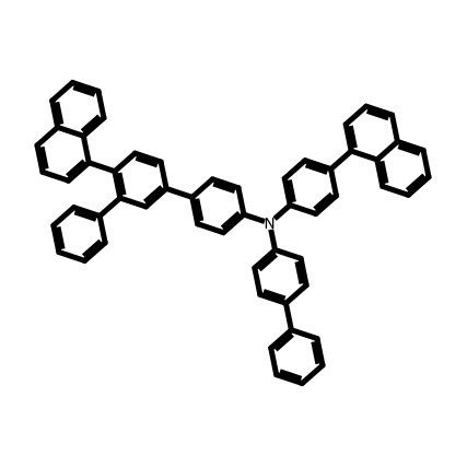 c1ccc(-c2ccc(N(c3ccc(-c4ccc(-c5cccc6ccccc56)c(-c5ccccc5)c4)cc3)c3ccc(-c4cccc5ccccc45)cc3)cc2)cc1